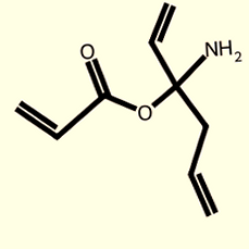 C=CCC(N)(C=C)OC(=O)C=C